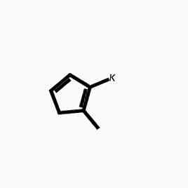 CC1=[C]([K])C=CC1